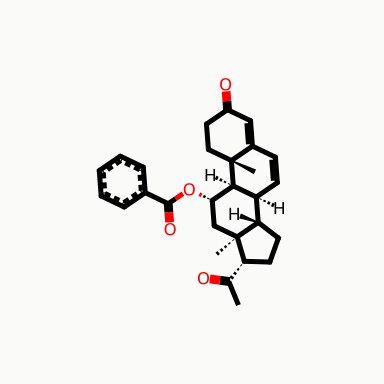 CC(=O)[C@H]1CC[C@H]2[C@@H]3C=CC4=CC(=O)CC[C@@]4(C)[C@@H]3[C@@H](OC(=O)c3ccccc3)C[C@]12C